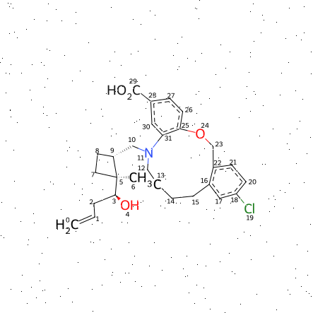 C=CC[C@H](O)[C@@]1(C)CC[C@@H]1CN1CCCCc2cc(Cl)ccc2COc2ccc(C(=O)O)cc21